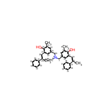 CCCCCCCCCCN(Cc1cc(C)c(O)c(C=C(C)c2ccccc2)c1)Cc1cc(C)c(O)c(C=C(C)c2ccccc2)c1